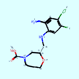 Nc1cc(Cl)c(F)cc1NC[C@H]1CN(C(=O)O)CCO1